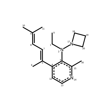 CCN(c1c(/C(C)=C/C=C(C)C)ccnc1C)N1CCC1